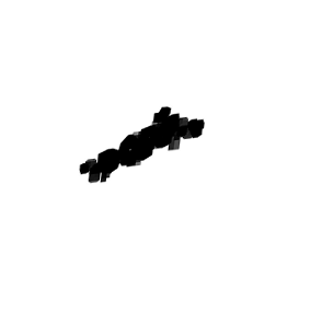 COC(=O)c1ccc(C2=CC[C@]3(C)[C@H]4CC[C@@H]5[C@H]6[C@H](C(C)C)CC[C@]6(NC(=O)OC(C)(C)C)CC[C@@]5(C)[C@]4(C)CC[C@H]3C2(C)C)cc1F